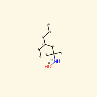 CCCC(CC)CC(C)(C)NO